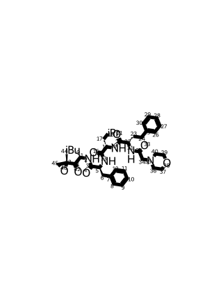 CCC(C)[C@H](NC(=O)[C@H](Cc1ccccc1)NC(=O)[C@H](CC(C)C)NC(=O)[C@H](CCc1ccccc1)NC(=O)CN1CCOCC1)C(=O)[C@@]1(C)CO1